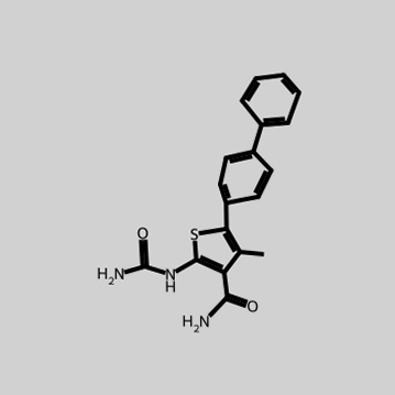 Cc1c(-c2ccc(-c3ccccc3)cc2)sc(NC(N)=O)c1C(N)=O